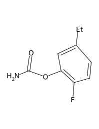 CCc1ccc(F)c(OC(N)=O)c1